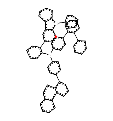 c1ccc(-c2ccccc2-c2ccc(N(c3ccc(-c4cccc5c4ccc4ccccc45)cc3)c3ccccc3-c3ccc4c(c3)c3ccccc3n4-c3ccccc3)cc2)cc1